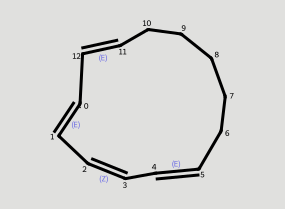 [C]1=C/C=C\C=C\CCCCC/C=C/1